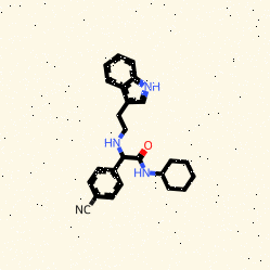 N#Cc1ccc(C(NCCc2c[nH]c3ccccc23)C(=O)NC2CCCCC2)cc1